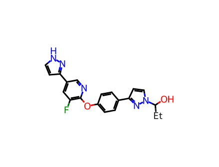 CCC(O)n1ccc(-c2ccc(Oc3ncc(-c4cc[nH]n4)cc3F)cc2)n1